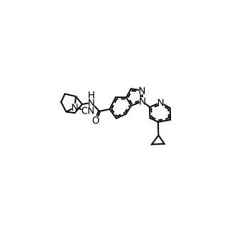 N#CN1C2CCC1C(NC(=O)c1ccc3c(cnn3-c3cc(C4CC4)ccn3)c1)C2